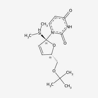 C[SiH](C)[C@]1(n2ccc(=O)[nH]c2=O)C=C[C@@H](COC(C)(C)C)O1